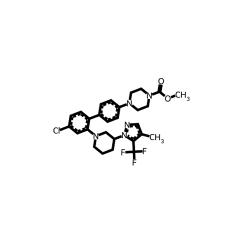 COC(=O)N1CCN(c2ccc(-c3ccc(Cl)cc3N3CCCC(n4ncc(C)c4C(F)(F)F)C3)cc2)CC1